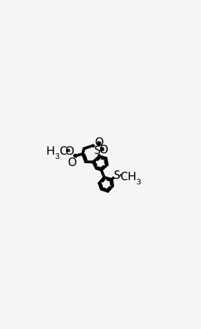 COC(=O)C1=Cc2cc(-c3ccccc3SC)ccc2S(=O)(=O)CC1